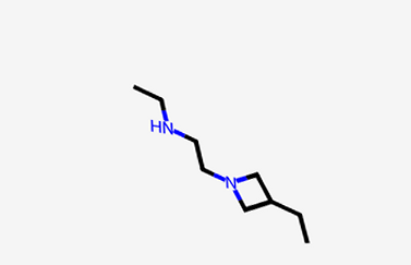 CCNCCN1CC(CC)C1